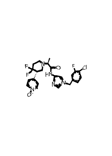 C[C@@H](C(=O)Nc1cn(Cc2ccc(Cl)c(F)c2)cn1)N1CCC(F)(F)[C@@H](c2cc[n+]([O-])cc2)C1